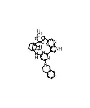 COC(=O)[C@H]1C2CCC(CC2)[C@@H]1Nc1cc(N2CCc3ccccc3C2)nc(-c2c[nH]c3ncc(Cl)nc23)n1